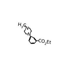 CCOC(=O)c1cccc(N2CCN(C)CC2)c1